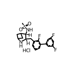 CS(=O)(=O)N[C@H]1C2CC(C2)N[C@H]1Cc1cccc(-c2cc(F)cc(F)c2)c1F.Cl